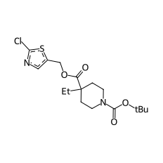 CCC1(C(=O)OCc2cnc(Cl)s2)CCN(C(=O)OC(C)(C)C)CC1